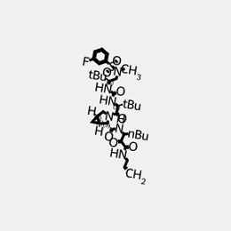 C=CCNC(=O)C(=O)C(CCCC)NC(=O)[C@@H]1[C@H]2C[C@H]2CN1C(=O)[C@@H](NC(=O)N[C@H](CN(C)S(=O)(=O)c1cccc(F)c1)C(C)(C)C)C(C)(C)C